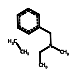 CC.CCN(C)Cc1ccccc1